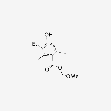 CCc1c(O)cc(C)c(C(=O)OCOC)c1C